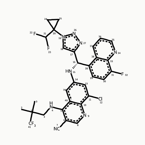 CC(C)(CNc1c(C#N)cnc2c(Cl)cc(N[C@H](c3cn(C4(C(F)F)CC4)nn3)c3ccc(F)c4ncccc34)cc12)C(F)(F)F